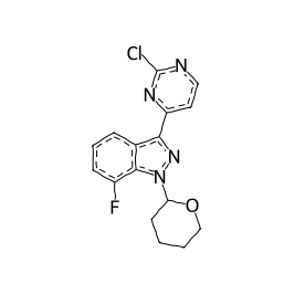 Fc1cccc2c(-c3ccnc(Cl)n3)nn(C3CCCCO3)c12